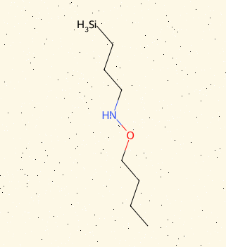 CCCCONCCC[SiH3]